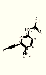 CC#Cc1nc(NC(=O)O)ccc1N